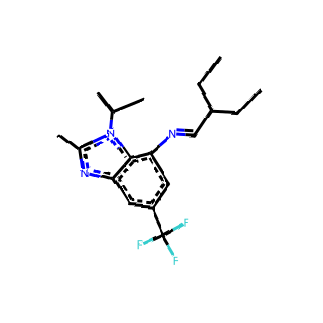 CCC(C=Nc1cc(C(F)(F)F)cc2nc(C)n(C(C)C)c12)CC